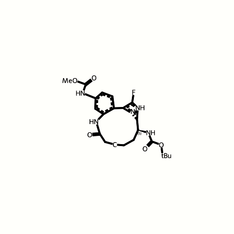 COC(=O)Nc1ccc2c(c1)NC(=O)CCCC[C@H](NC(=O)OC(C)(C)C)c1nc-2c(F)[nH]1